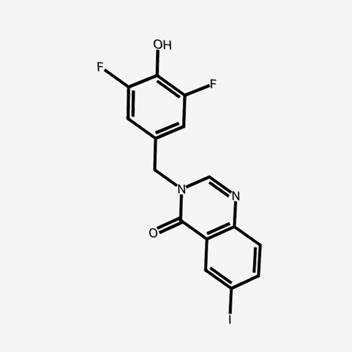 O=c1c2cc(I)ccc2ncn1Cc1cc(F)c(O)c(F)c1